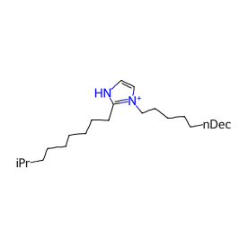 CCCCCCCCCCCCCCC[n+]1cc[nH]c1CCCCCCCC(C)C